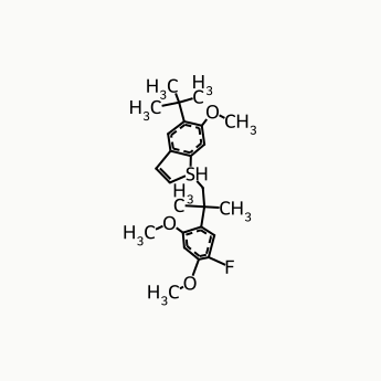 COc1cc(OC)c(C(C)(C)C[SH]2C=Cc3cc(C(C)(C)C)c(OC)cc32)cc1F